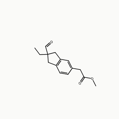 CCC1(C=O)Cc2ccc(CC(=O)OC)cc2C1